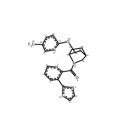 O=C(c1ncccc1-c1nccs1)N1CC2CCC1C(Oc1ccc(C(F)(F)F)cn1)C2